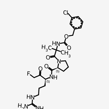 CC(C)(NC(=O)OCc1cccc(Cl)c1)C(=O)N1CCC[C@H]1C(=O)N[C@@H](CCCNC(=N)N)C(=O)CF